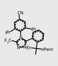 CCCCCC(C)(CC)c1ccccc1-c1nnc(C(F)(F)F)n1-c1c(C(C)C)cc(C#N)cc1C(C)C